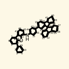 c1ccc(-c2cccc3c2oc2c(Nc4ccc(-c5ccc6c(c5)C5(c7ccccc7-c7ccccc75)c5ccccc5-6)cc4)cccc23)cc1